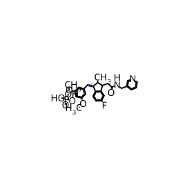 COc1cc(/C=C2\c3ccc(F)cc3C(CC(=O)NCc3cccnc3)C2C)cc(OC)c1OP(=O)(O)O